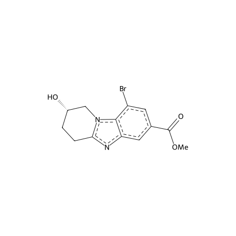 COC(=O)c1cc(Br)c2c(c1)nc1n2C[C@@H](O)CC1